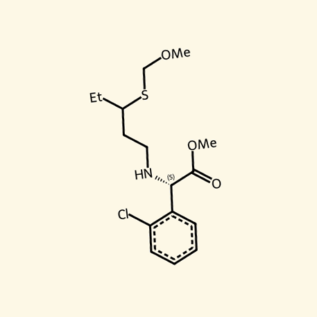 CCC(CCN[C@H](C(=O)OC)c1ccccc1Cl)SCOC